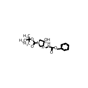 CC(C)(C)OC(=O)N1C[C@@H](CNC(=O)OCc2ccccc2)[C@H](O)C1